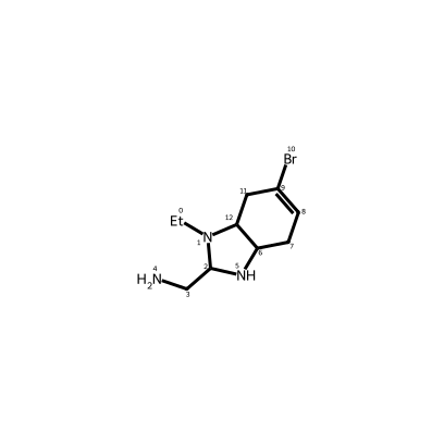 CCN1C(CN)NC2CC=C(Br)CC21